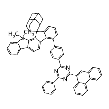 C[Si]1(C)c2ccccc2-c2ccc3c(c21)C1(c2cccc(-c4ccc(-c5nc(-c6ccccc6)nc(-c6cc7ccccc7c7ccccc67)n5)cc4)c2-3)C2CC3CC(C2)CC1C3